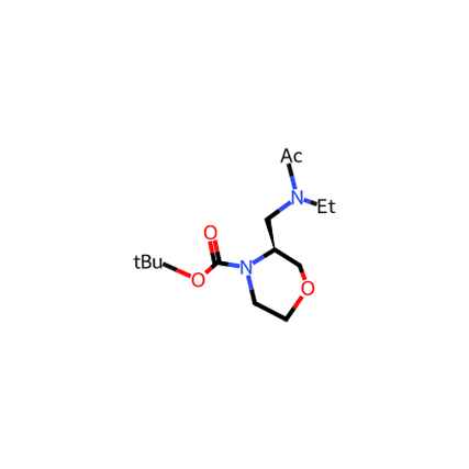 CCN(C[C@H]1COCCN1C(=O)OC(C)(C)C)C(C)=O